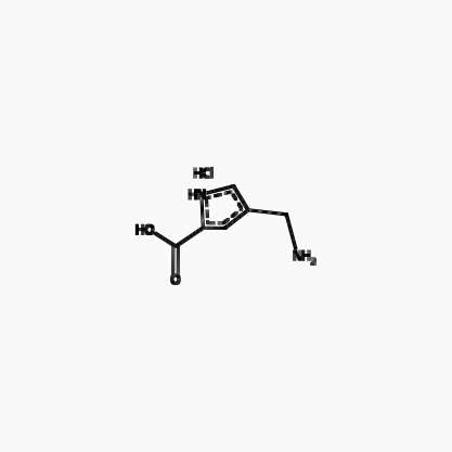 Cl.NCc1c[nH]c(C(=O)O)c1